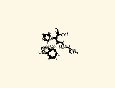 CCNCC(N)C(C(=O)O)n1ccnc1.c1ccc2[nH]nnc2c1